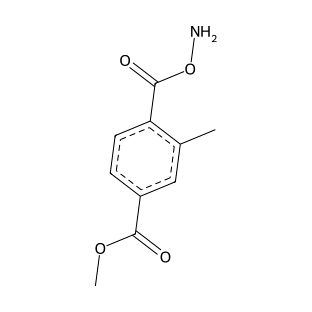 COC(=O)c1ccc(C(=O)ON)c(C)c1